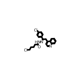 O=C(CCCCCl)NN=C(Cc1ccnc2ccccc12)c1ccc(Cl)cc1